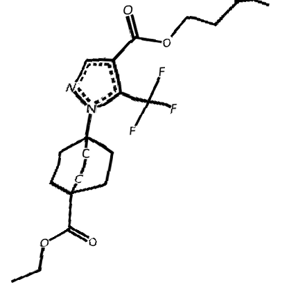 CCCCOC(=O)c1cnn(C23CCC(C(=O)OCC)(CC2)CC3)c1C(F)(F)F